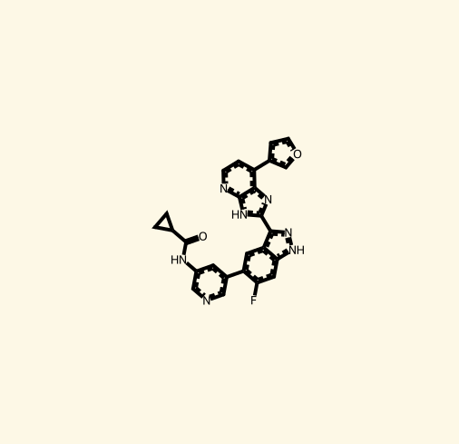 O=C(Nc1cncc(-c2cc3c(-c4nc5c(-c6ccoc6)ccnc5[nH]4)n[nH]c3cc2F)c1)C1CC1